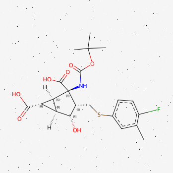 Cc1cc(SC[C@@H]2[C@H](O)[C@H]3[C@H](C(=O)O)[C@H]3[C@]2(NC(=O)OC(C)(C)C)C(=O)O)ccc1F